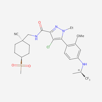 CCn1nc(C(=O)NC[C@]2(C#N)CC[C@H](S(C)(=O)=O)CC2)c(Cl)c1-c1ccc(N[C@H](C)C(F)(F)F)cc1OC